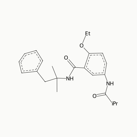 CCOc1ccc(NC(=O)C(C)C)cc1C(=O)NC(C)(C)Cc1ccccc1